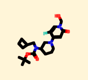 CC(C)(C)OC(=O)N(CC1CCC1)C1CCCN(c2cc(=O)n(CO)cc2F)C1